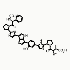 CC(C)[C@H](NC(=O)O)C(=O)N1CCCC1c1ncc(-c2ccc(-c3csc4c(-c5cnc(C6CCCN6C(=O)[C@H](NC(=O)O)c6ccccc6)[nH]5)c[nH]c34)c(O)c2)[nH]1